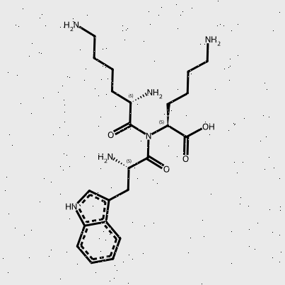 NCCCC[C@H](N)C(=O)N(C(=O)[C@@H](N)Cc1c[nH]c2ccccc12)[C@@H](CCCCN)C(=O)O